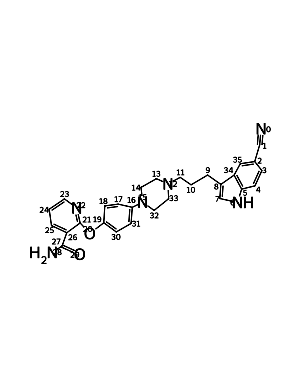 N#Cc1ccc2[nH]cc(CCCN3CCN(c4ccc(Oc5ncccc5C(N)=O)cc4)CC3)c2c1